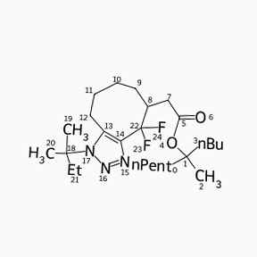 CCCCCC(C)(CCCC)OC(=O)CC1CCCCc2c(nnn2C(C)(C)CC)C1(F)F